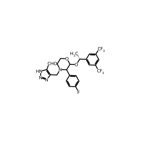 C[C@@H](OC1OCCN(Cc2nn[nH]c2C=O)C1c1ccc(F)cc1)c1cc(C(F)(F)F)cc(C(F)(F)F)c1